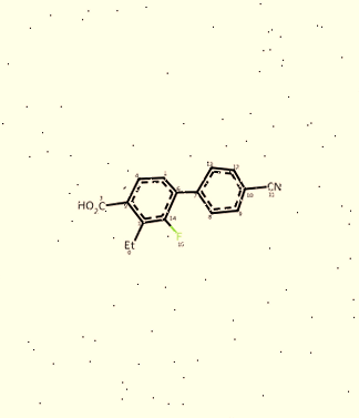 CCc1c(C(=O)O)ccc(-c2ccc(C#N)cc2)c1F